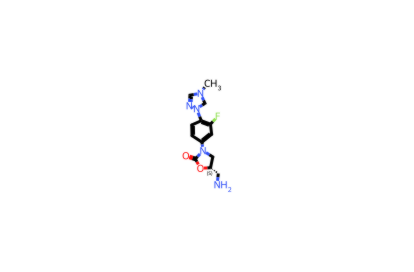 CN1C=NN(c2ccc(N3C[C@H](CN)OC3=O)cc2F)C1